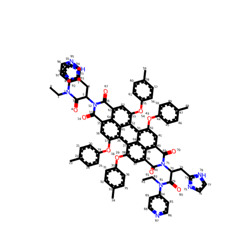 CCN(C(=O)C(Cc1ncc[nH]1)N1C(=O)c2cc(Oc3ccc(C)cc3)c3c4c(Oc5ccc(C)cc5)cc5c6c(cc(Oc7ccc(C)cc7)c(c7c(Oc8ccc(C)cc8)cc(c2c37)C1=O)c64)C(=O)N(C(Cc1ncc[nH]1)C(=O)N(CC)c1ccncc1)C5=O)c1ccncc1